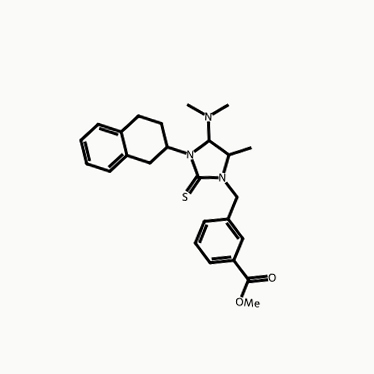 COC(=O)c1cccc(CN2C(=S)N(C3CCc4ccccc4C3)C(N(C)C)C2C)c1